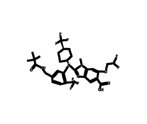 Cn1c(N(c2cc(CNC(=O)C(C)(C)C)ccc2C(F)(F)F)[C@H]2CC[C@H](C(F)(F)F)CC2)nc2cc(C(=O)O)c(OCC(F)F)cc21